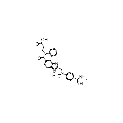 CN(Cc1nc2cc(C(=O)N(CCC(=O)O)c3ccccc3)ccc2n1C)c1ccc(C(=N)N)cc1